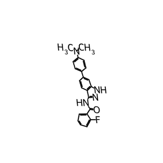 CN(C)c1ccc(-c2ccc3c(NC(=O)c4ccccc4F)n[nH]c3c2)cc1